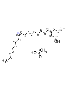 CC(=O)O.CCCCCCCC/C=C\CCCCCCCCN(CCO)CCO